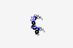 CNC(C)CNc1ccc(-c2cnc3ccc(NC(C)c4cccc(F)c4)nn23)cc1